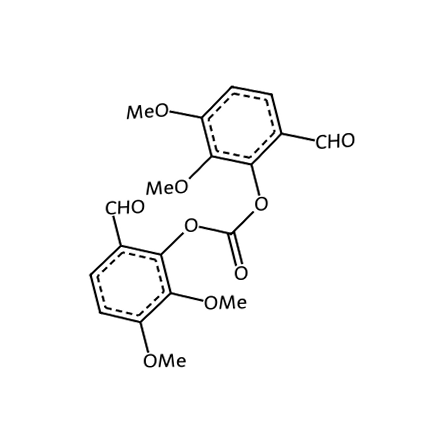 COc1ccc(C=O)c(OC(=O)Oc2c(C=O)ccc(OC)c2OC)c1OC